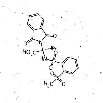 CC(C)[C@](NS(=O)(=O)c1ccccc1S(C)(=O)=O)(C(=O)O)N1C(=O)c2ccccc2C1=O